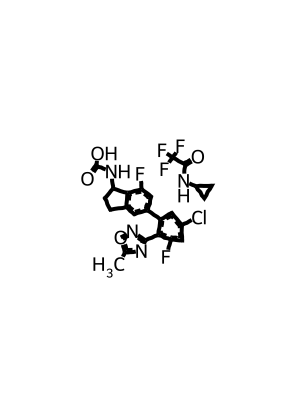 Cc1nc(-c2c(F)cc(Cl)cc2-c2cc(F)c3c(c2)CCC3NC(=O)O)no1.O=C(NC1CC1)C(F)(F)F